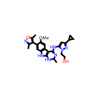 COc1cc2c3c([nH]c2cc1-c1c(C)noc1C)NC(C)N=C3Nc1cc(C2CC2)nn1CCO